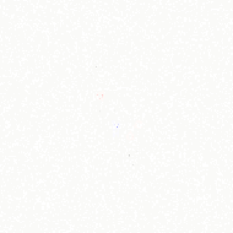 O=C(OCc1ccccc1)c1cc2cc(OCc3ccccc3)ccc2[nH]1